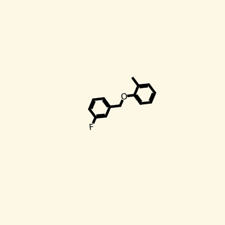 Cc1ccccc1OCc1cccc(F)c1